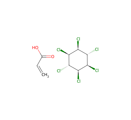 C=CC(=O)O.Cl[C@H]1[C@H](Cl)[C@@H](Cl)[C@@H](Cl)[C@H](Cl)[C@H]1Cl